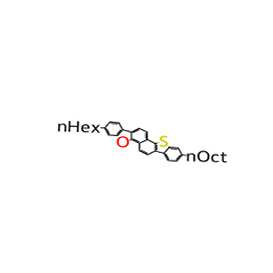 CCCCCCCCc1ccc2c(c1)sc1c2ccc2c1ccc1c3ccc(CCCCCC)cc3oc12